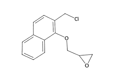 ClCc1ccc2ccccc2c1OCC1CO1